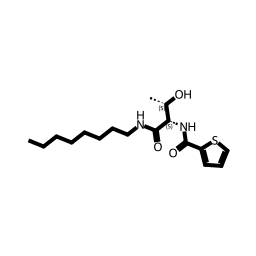 CCCCCCCCNC(=O)[C@@H](NC(=O)c1cccs1)[C@H](C)O